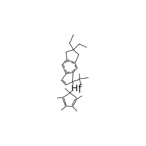 CCC1(CC)Cc2cc3c(cc2C1)[C]([Hf][C]1(C)C(C)=C(C)C(C)=C1C)(C(C)(C)C)C=C3